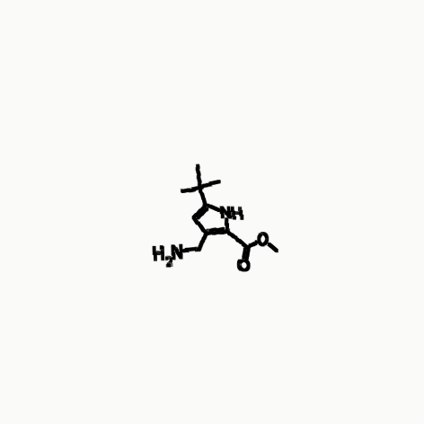 COC(=O)c1[nH]c(C(C)(C)C)cc1CN